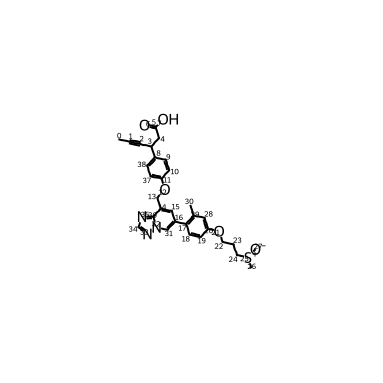 CC#CC(CC(=O)O)c1ccc(OCc2cc(-c3ccc(OCCC[S+](C)[O-])cc3C)cn3ncnc23)cc1